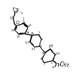 CCCCCCCCC1CCC(C2CCC(c3ccc(CC(F)(F)F)cc3)CC2)CC1